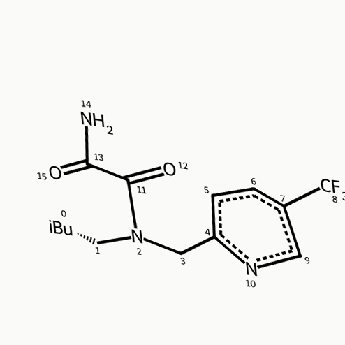 CC[C@@H](C)CN(Cc1ccc(C(F)(F)F)cn1)C(=O)C(N)=O